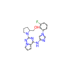 OCC1CCCN1c1nc(Nc2cn(-c3cccc(F)c3)cn2)c2cccn2n1